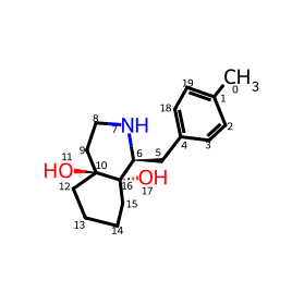 Cc1ccc(C[C@@H]2NCC[C@@]3(O)CCCC[C@]23O)cc1